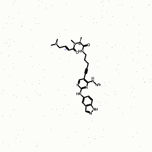 CCCNc1nc(Nc2ccc3[nH]ncc3c2)ncc1C#CCCCNC(=O)[C@H](C)N(C)C(=O)/C=C/CN(C)C